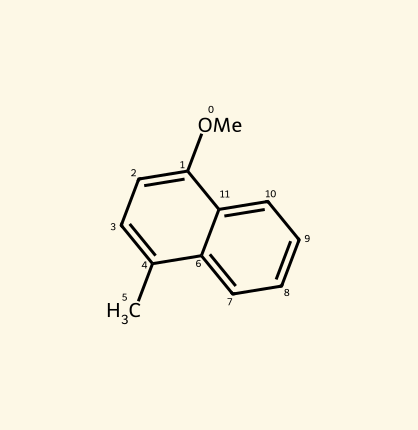 COc1ccc(C)c2ccccc12